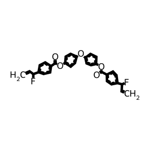 C=CC(F)c1ccc(C(=O)Oc2ccc(Oc3ccc(OC(=O)c4ccc(C(F)C=C)cc4)cc3)cc2)cc1